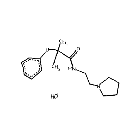 CC(C)(Oc1ccccc1)C(=O)NCCN1CCCC1.Cl